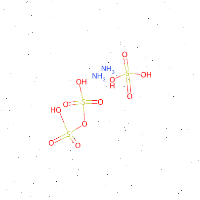 N.N.O=S(=O)(O)O.O=S(=O)(O)OS(=O)(=O)O